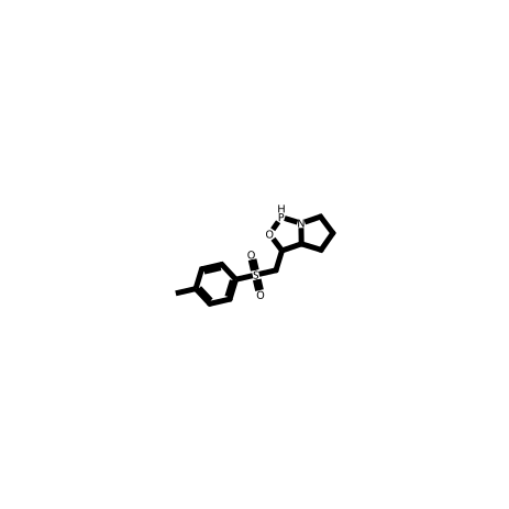 Cc1ccc(S(=O)(=O)CC2OPN3CCCC23)cc1